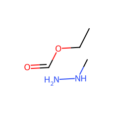 CCOC=O.CNN